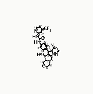 Nc1ncnn2c(CN3CCOCC3)c(CO)c(-c3ccc(NC(=O)Nc4cc(C(F)(F)F)ccn4)cc3)c12